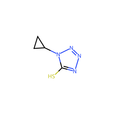 Sc1nnnn1C1CC1